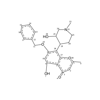 Cc1cc(=O)c2c(O)cc(OCc3ccccc3)c(C3CCN(C)CC3O)c2o1